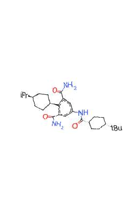 CC(C)[C@H]1CC[C@@H](c2c(C(N)=O)cc(NC(=O)[C@H]3CC[C@@H](C(C)(C)C)CC3)cc2C(N)=O)CC1